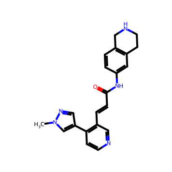 Cn1cc(-c2ccncc2C=CC(=O)Nc2ccc3c(c2)CCNC3)cn1